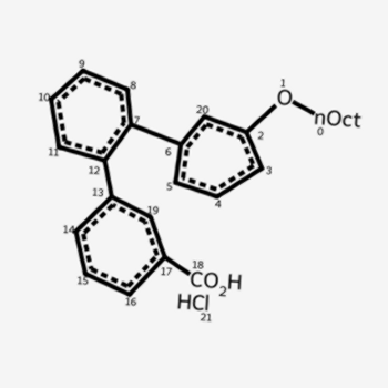 CCCCCCCCOc1cccc(-c2ccccc2-c2cccc(C(=O)O)c2)c1.Cl